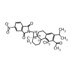 CC(=O)c1cc2c(cc1C(C)C)CC[C@H]1[C@](C)(CN3C(=O)c4ccc([N+](=O)[O-])cc4C3=O)CCC[C@]21C